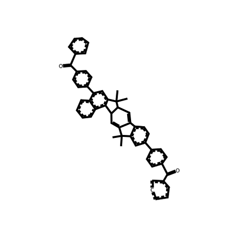 CC1(C)C2=CC3c4c(cc(-c5ccc(C(=O)c6ccccc6)cc5)c5ccccc45)C(C)(C)C3C=C2c2ccc(-c3ccc(C(=O)c4ccccc4)cc3)cc21